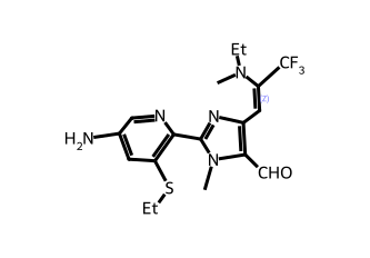 CCSc1cc(N)cnc1-c1nc(/C=C(\N(C)CC)C(F)(F)F)c(C=O)n1C